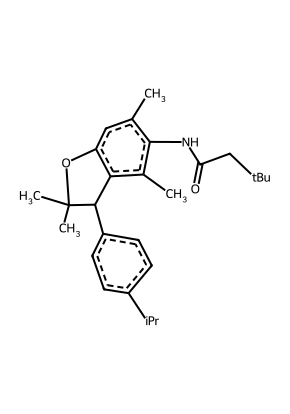 Cc1cc2c(c(C)c1NC(=O)CC(C)(C)C)C(c1ccc(C(C)C)cc1)C(C)(C)O2